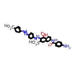 Nc1ccc(C(=O)Nc2ccc3c(O)c(N=Nc4ccc(N=Nc5ccc(C(=O)O)cc5)cc4)c(S(=O)(=O)O)cc3c2)cc1